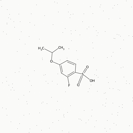 CC(C)Oc1ccc(S(=O)(=O)O)c(F)c1